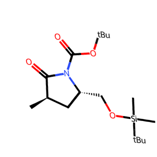 C[C@@H]1C[C@@H](CO[Si](C)(C)C(C)(C)C)N(C(=O)OC(C)(C)C)C1=O